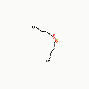 CCCCCCCC#CC#CCCCCCCC(=O)OCC(C=S)OC(=O)CCCCCCC#CC#CCCCCCCC